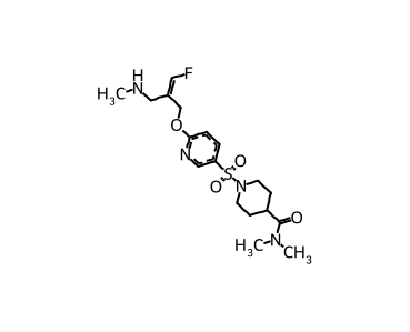 CNC/C(=C/F)COc1ccc(S(=O)(=O)N2CCC(C(=O)N(C)C)CC2)cn1